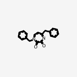 O=c1nc(Cc2ccccc2)ccn(Cc2ccccc2)c1=O